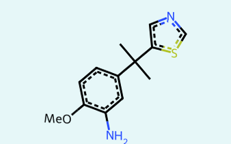 COc1ccc(C(C)(C)c2cncs2)cc1N